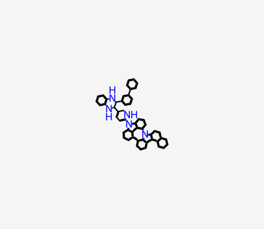 C1=C(C2Nc3ccccc3NC2c2cccc(-c3ccccc3)c2)CNC(n2c3cccc4c5cccc6c7c8ccccc8ccc7n(c7cccc2c7c43)c56)=C1